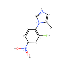 Cc1cncn1-c1ccc([N+](=O)[O-])cc1F